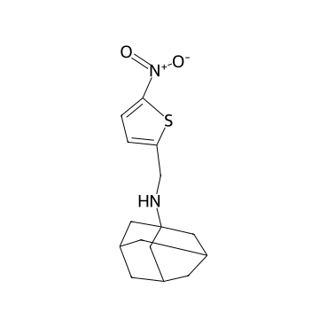 O=[N+]([O-])c1ccc(CNC23CC4CC(CC(C4)C2)C3)s1